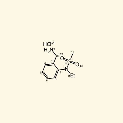 CCN(c1ccccc1CN)S(C)(=O)=O.Cl